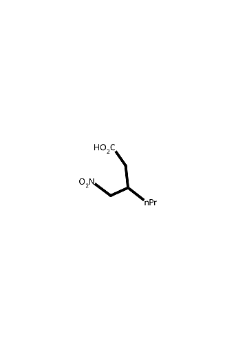 CCCC(CC(=O)O)C[N+](=O)[O-]